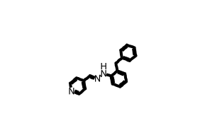 C(=NNc1ccccc1Cc1ccccc1)c1ccncc1